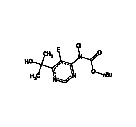 CCCCOC(=O)N(Cl)c1ncnc(C(C)(C)O)c1F